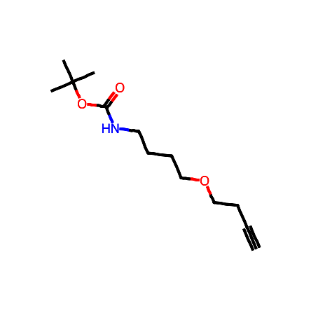 C#CCCOCCCCNC(=O)OC(C)(C)C